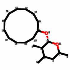 CC1CC(C)[C@@H](C)[C@H](OC2CCCCCCCCCCC2)O1